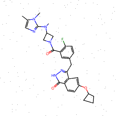 Cc1cnc(N(C)C2CN(C(=O)c3cc(Cc4n[nH]c(=O)c5ccc(OC6CCC6)cc45)ccc3F)C2)n1C